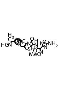 CO/N=C(\C(=O)NC1C(=O)N2C(C(=O)[O-])=C(C[n+]3cccc(C(C)=NO)c3)CS[C@@H]12)c1noc(N)n1